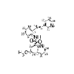 Cc1cc(S(=O)(=O)Nc2ccccc2C#Cc2cccnc2)c2ncccc2c1